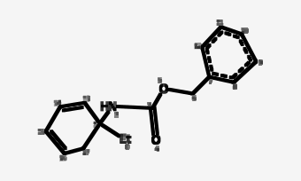 [CH2]CC1(NC(=O)OCc2ccccc2)C=CC=CC1